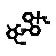 Cc1ncc(CO)c(CNc2ccccc2-c2ccccc2S(=O)(=O)NC(C)(C)C)c1O